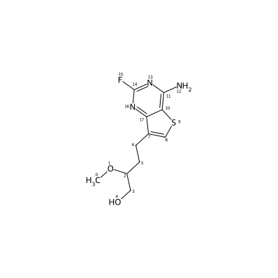 COC(CO)CCc1csc2c(N)nc(F)nc12